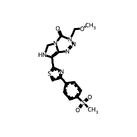 COCN1N=NC2=C(c3nc(-c4ccc(S(C)(=O)=O)cc4)cs3)NCN2C1=O